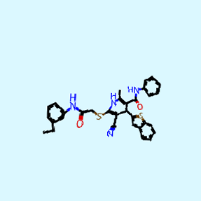 CCc1cccc(NC(=O)CSC2=C(C#N)C(c3cc4ccccc4s3)C(C(=O)Nc3ccccc3)=C(C)N2)c1